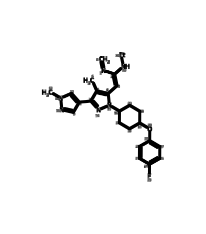 C=N/C(=C\c1c(C)c(-c2cnn(C)c2)nn1C1CCC(Oc2ccc(F)cc2)CC1)NCC